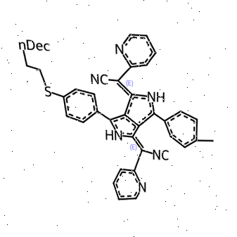 [C-]#[N+]/C(c1ccccn1)=c1/[nH]c(-c2ccc(SCCCCCCCCCCCC)cc2)c2/c(=C(\C#N)c3ccccn3)[nH]c(-c3ccc(C)cc3)c12